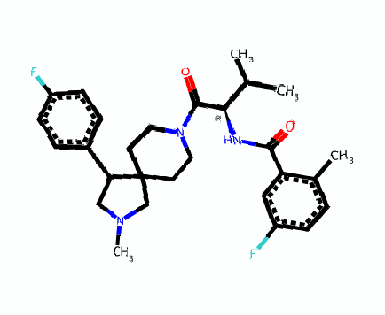 Cc1ccc(F)cc1C(=O)N[C@@H](C(=O)N1CCC2(CC1)CN(C)CC2c1ccc(F)cc1)C(C)C